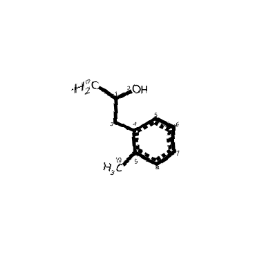 [CH2]C(O)Cc1ccccc1C